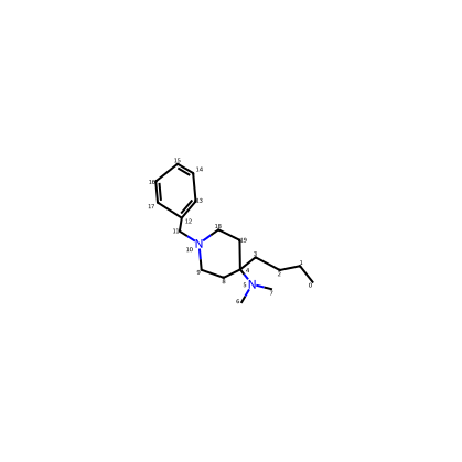 CCCCC1(N(C)C)CCN(Cc2ccccc2)CC1